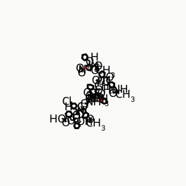 CC(=O)Nc1ccc(OC(=O)c2ccccc2OC(C)=O)cc1.CN1C(C(=O)Nc2ccccn2)=C(O)c2ccccc2S1(=O)=O.COc1ccc2c(c1)c(CC(=O)NO)c(C)n2C(=O)c1ccc(Cl)cc1.CS(=O)(=O)Nc1ccc([N+](=O)[O-])cc1Oc1ccccc1.O=C(Oc1ccccc1C(=O)O)c1ccccc1O